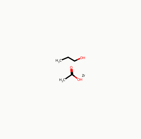 CC(=O)O.CCCO.[Zr]